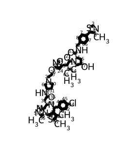 Cc1ncsc1-c1ccc(CNC(=O)[C@@H]2C[C@@H](O)CN2C(=O)[C@@H](c2cc(OCCN3CC[C@H](NC(=O)C[C@@H]4N=C(c5ccc(Cl)cc5)c5c(sc(C)c5C)-n5c(C)nnc54)C3)no2)C(C)C)cc1